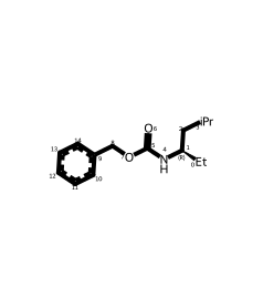 CC[C@H](CC(C)C)NC(=O)OCc1ccccc1